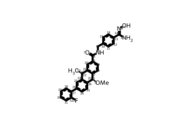 CO[C@@H]1c2ccc(C(=O)NCc3ccc(C(N)=NO)cc3)cc2[C@H](C)c2cc(-c3ccccc3F)ccc21